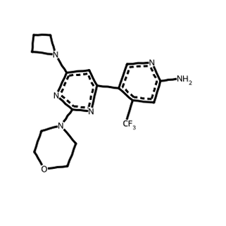 Nc1cc(C(F)(F)F)c(-c2cc(N3CCC3)nc(N3CCOCC3)n2)cn1